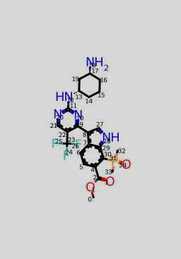 COC(=O)c1ccc2c(-c3nc(N[C@H]4CCC[C@H](N)C4)ncc3C(F)(F)F)c[nH]c2c1P(C)(C)=O